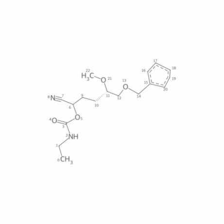 CCNC(=O)OC(C#N)CC[C@@H](COCc1ccccc1)OC